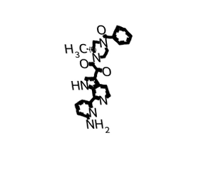 C[C@@H]1CN(C(=O)c2ccccc2)CCN1C(=O)C(=O)c1c[nH]c2c(-c3cccc(N)n3)nccc12